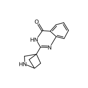 O=c1[nH]c(C23CNC(C2)C3)nc2ccccc12